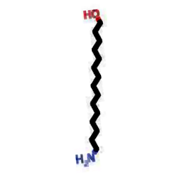 NCCCCCCCCCCCCCCCO